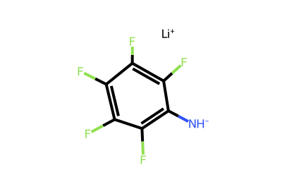 [Li+].[NH-]c1c(F)c(F)c(F)c(F)c1F